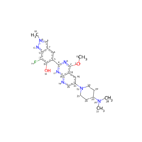 COc1nc(-c2cc3cn(C)nc3c(F)c2O)nc2ncc(N3CCC(N(C)C)CC3)cc12